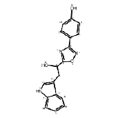 Oc1ccc(-c2noc(C(O)Cc3c[nH]c4ccccc34)n2)cc1